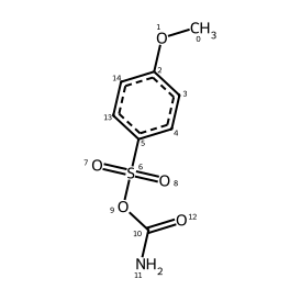 COc1ccc(S(=O)(=O)OC(N)=O)cc1